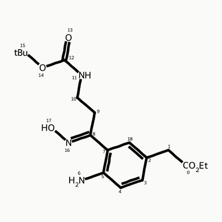 CCOC(=O)Cc1ccc(N)c(C(CCNC(=O)OC(C)(C)C)=NO)c1